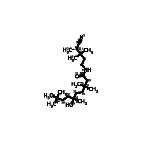 C[C@H](C#N)C(C)(C)CCNC(=O)CC(C)(C)CCC(C)(O)CCC(C)(C)C